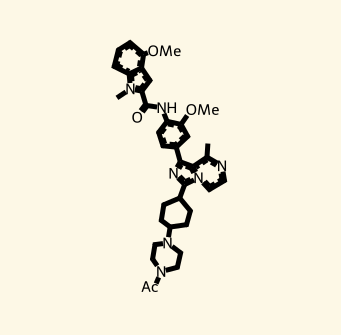 COc1cc(-c2nc(C3CCC(N4CCN(C(C)=O)CC4)CC3)n3ccnc(C)c23)ccc1NC(=O)c1cc2c(OC)cccc2n1C